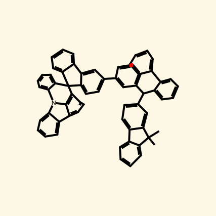 CC1(C)c2ccccc2-c2ccc(C(c3cccc(-c4ccc5c(c4)-c4ccccc4C54c5ccccc5-n5c6ccccc6c6cccc4c65)c3)c3ccccc3-c3ccccc3)cc21